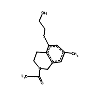 Cc1cc2c(c(SCCO)c1)CCN(C(=O)C(F)(F)F)C2